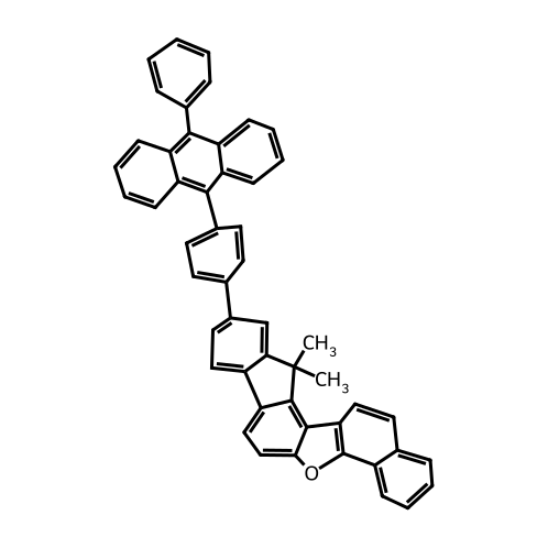 CC1(C)c2cc(-c3ccc(-c4c5ccccc5c(-c5ccccc5)c5ccccc45)cc3)ccc2-c2ccc3oc4c5ccccc5ccc4c3c21